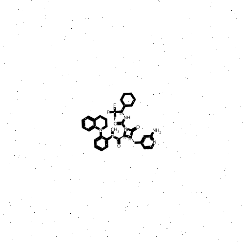 CN(C(=O)[C@@H]1[C@@H](Cc2ccnc(N)c2)C(=O)N1C(=O)N[C@@H](C1CCCCC1)C(F)(F)F)c1ccccc1N1CCCc2ccccc21